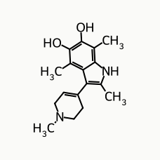 Cc1[nH]c2c(C)c(O)c(O)c(C)c2c1C1=CCN(C)CC1